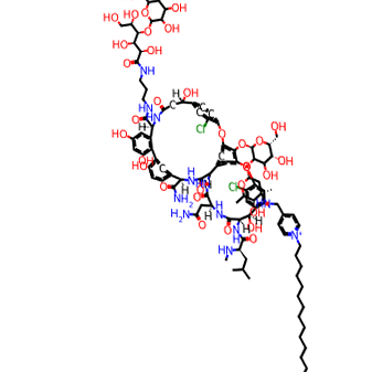 CCCCCCCCCCCCCC[n+]1ccc(CN[C@]2(C)C[C@H](OC3C(O)[C@@H](O)[C@@H](CO)O[C@@H]3Oc3c4cc5cc3Oc3ccc(cc3Cl)[C@@H](O)CC(=O)N[C@H](C(=O)NCCCNC(=O)[C@H](O)[C@@H](O)[C@H](OC3OC(CO)C(O)C(O)C3O)[C@H](O)CO)c3cc(O)cc(O)c3-c3cc(ccc3O)[C@H](C(N)=O)NC(=O)[C@@H]5NC(=O)[C@H](CC(N)=O)NC(=O)[C@H](NC(=O)[C@@H](CC(C)C)NC)[C@H](O)c3ccc(c(Cl)c3)O4)OC(C)[C@@H]2O)cc1